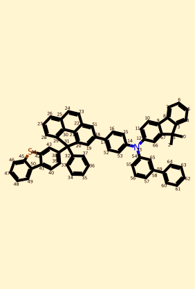 CC1(C)c2ccccc2-c2ccc(N(c3ccc(-c4cc5c6c(ccc7cccc(c76)C5(c5ccccc5)c5ccc6c(c5)sc5ccccc56)c4)cc3)c3cccc(-c4ccccc4)c3)cc21